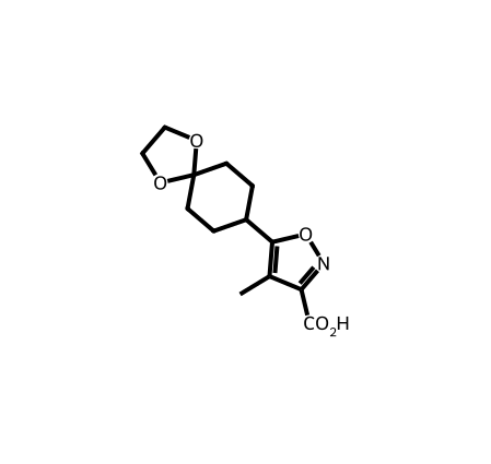 Cc1c(C(=O)O)noc1C1CCC2(CC1)OCCO2